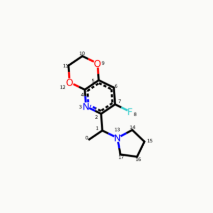 CC(c1nc2c(cc1F)OCCO2)N1CCCC1